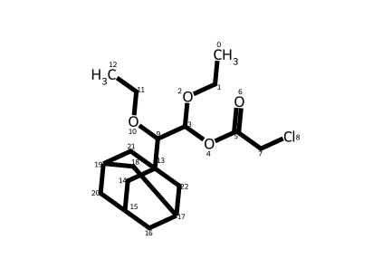 CCOC(OC(=O)CCl)C(OCC)C12CC3CC(CC(C3)C1)C2